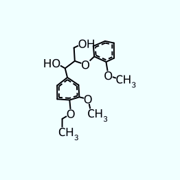 CCOc1ccc(C(O)C(CO)Oc2ccccc2OC)cc1OC